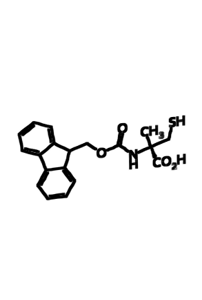 C[C@](CS)(NC(=O)OCC1c2ccccc2-c2ccccc21)C(=O)O